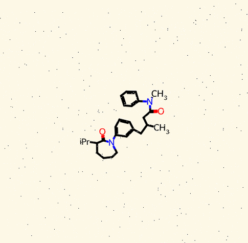 CC(CC(=O)N(C)c1ccccc1)Cc1cccc(N2CCCCC(C(C)C)C2=O)c1